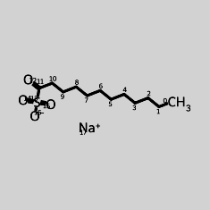 CCCCCCCCCCCC(=O)S(=O)(=O)[O-].[Na+]